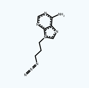 [N-]=[N+]=NCCCn1cnc2c(N)ncnc21